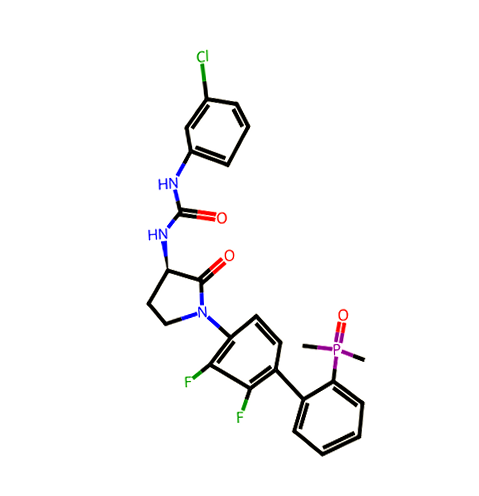 CP(C)(=O)c1ccccc1-c1ccc(N2CC[C@@H](NC(=O)Nc3cccc(Cl)c3)C2=O)c(F)c1F